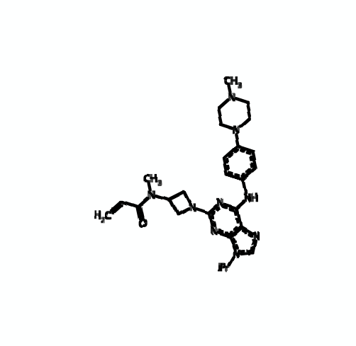 C=CC(=O)N(C)C1CN(c2nc(Nc3ccc(N4CCN(C)CC4)cc3)c3ncn(C(C)C)c3n2)C1